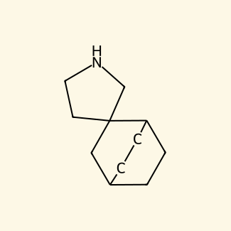 C1CC2(CN1)CC1CCC2CC1